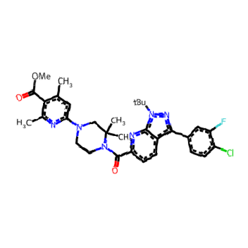 COC(=O)c1c(C)cc(N2CCN(C(=O)c3ccc4c(-c5ccc(Cl)c(F)c5)nn(C(C)(C)C)c4n3)C(C)(C)C2)nc1C